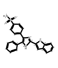 NS(=O)(=O)c1ccc(-c2nc(-c3cc4ccccc4o3)[nH]c2-c2ccccc2)cc1